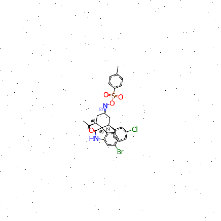 C=C(C)[C@H]1C/C(=N/OS(=O)(=O)c2ccc(C)cc2)C[C@@H](c2cccc(Cl)c2)[C@]12C(=O)Nc1cc(Br)ccc12